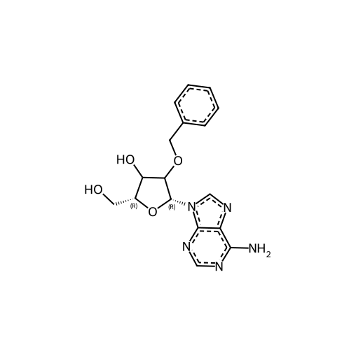 Nc1ncnc2c1ncn2[C@@H]1O[C@H](CO)C(O)C1OCc1ccccc1